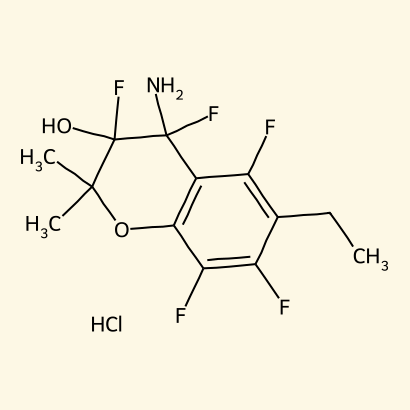 CCc1c(F)c(F)c2c(c1F)C(N)(F)C(O)(F)C(C)(C)O2.Cl